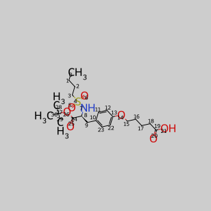 CCCCS(=O)(=O)N[C@@H](Cc1ccc(OCCCCC(=O)O)cc1)C(=O)OC(C)(C)C